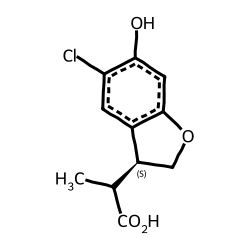 CC(C(=O)O)[C@@H]1COc2cc(O)c(Cl)cc21